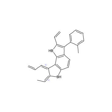 C=C/C=C1\C(=C/C)Bc2ccc3c(c21)BC(C=C)=C3c1ccccc1C